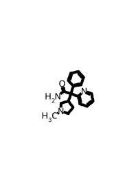 CN1CCC(C(C(N)=O)(c2ccccc2)c2ccccn2)C1